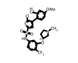 COc1ccc(-c2cc(S(=O)(=O)Nc3ccc(C(F)(F)F)c(O[C@@H]4CCN(C)C4)c3)sc2Cl)c(C)c1